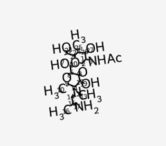 CC(=O)NC1[C@H](O[C@@H]2C(CO)O[C@@H](C)C(N(C)CC(C)N)[C@H]2O)OC(CO)[C@H](C)[C@@H]1O